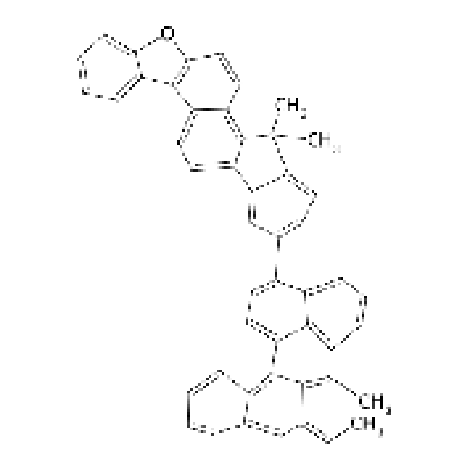 C/C=c1/cc2ccccc2c(-c2ccc(-c3ccc4c(c3)-c3ccc5c(ccc6oc7ccccc7c65)c3C4(C)C)c3ccccc23)/c1=C/C